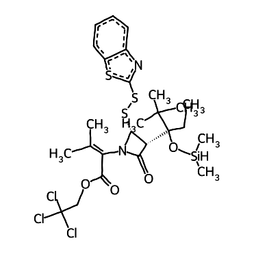 CCC(O[SiH](C)C)([C@@H]1C(=O)N(C(C(=O)OCC(Cl)(Cl)Cl)=C(C)C)[C@@H]1SSc1nc2ccccc2s1)C(C)(C)C